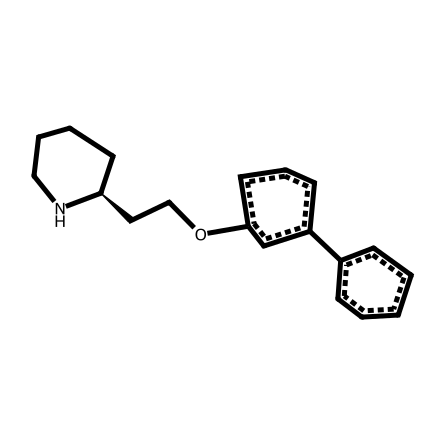 c1ccc(-c2cccc(OCC[C@@H]3CCCCN3)c2)cc1